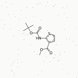 COC(=O)c1ccsc1NC(=O)OC(C)(C)C